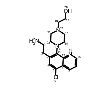 NCCc1cc(Cl)c2cccnc2c1N1CCN(CCO)CC1